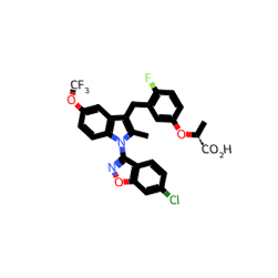 Cc1c(Cc2cc(O[C@H](C)C(=O)O)ccc2F)c2cc(OC(F)(F)F)ccc2n1-c1noc2cc(Cl)ccc12